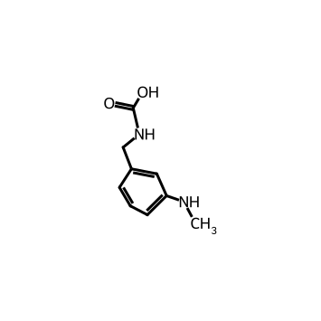 CNc1cccc(CNC(=O)O)c1